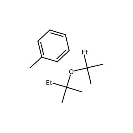 CCC(C)(C)OC(C)(C)CC.Cc1ccccc1